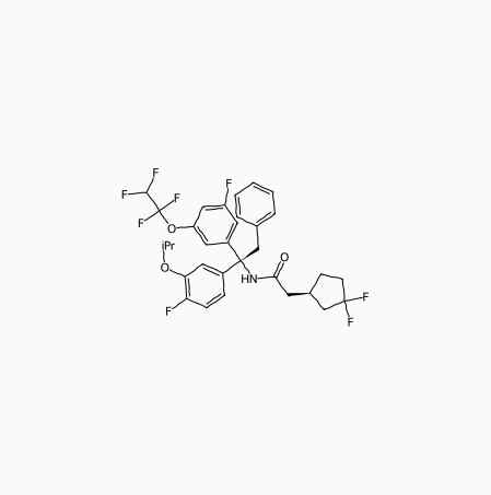 CC(C)Oc1cc([C@@](Cc2ccccc2)(NC(=O)C[C@H]2CCC(F)(F)C2)c2cc(F)cc(OC(F)(F)C(F)F)c2)ccc1F